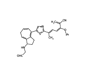 C=C(C#N)/C(=C\C=C(/C)c1ncc(C2=C3CCC(NCC=O)C3=CCC=C2)s1)OC(C)C